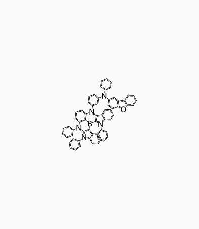 c1ccc(N(c2cccc(N3c4cccc5c4B(c4c(n(-c6ccccc6)c6ccccc46)N5c4ccccc4)c4c3c3ccccc3n4-c3ccccc3)c2)c2ccc3oc4ccccc4c3c2)cc1